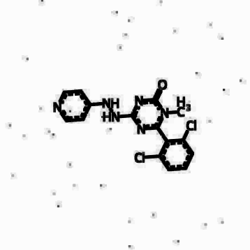 Cn1c(-c2c(Cl)cccc2Cl)nc(NNc2ccncc2)nc1=O